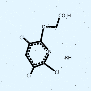 O=C(O)COc1nc(Cl)c(Cl)cc1Cl.[KH]